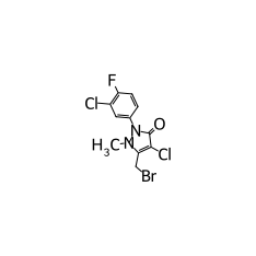 Cn1c(CBr)c(Cl)c(=O)n1-c1ccc(F)c(Cl)c1